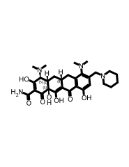 CN(C)c1c(CN2CCCCC2)cc(O)c2c1C[C@H]1C[C@H]3[C@H](N(C)C)C(O)=C(C(N)=O)C(=O)[C@@]3(O)C(O)=C1C2=O